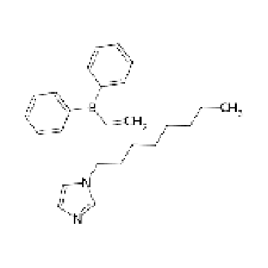 C=CB(c1ccccc1)c1ccccc1.CCCCCCCCn1ccnc1